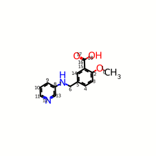 COc1ccc(CNc2cccnc2)cc1C(=O)O